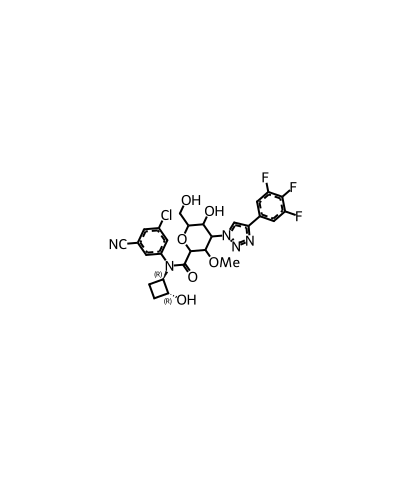 COC1C(C(=O)N(c2cc(Cl)cc(C#N)c2)[C@@H]2CC[C@H]2O)OC(CO)C(O)C1n1cc(-c2cc(F)c(F)c(F)c2)nn1